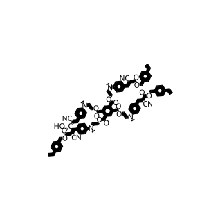 C=Cc1ccc(COC(=O)/C(C#N)=C/c2ccc(N(C)CCOC(=O)C3CC(C(=O)OCCN(C)c4ccc(/C=C(\C#N)C(=O)OCc5ccc(C=C)cc5)cc4)C(C(=O)OCCN(C)c4ccc(/C=C(\C#N)C(=O)OCc5ccc(C=C)cc5)cc4)CC3C(=O)OCCN(C)c3ccc(/C=C(\C#N)C(=O)O)cc3)cc2)cc1